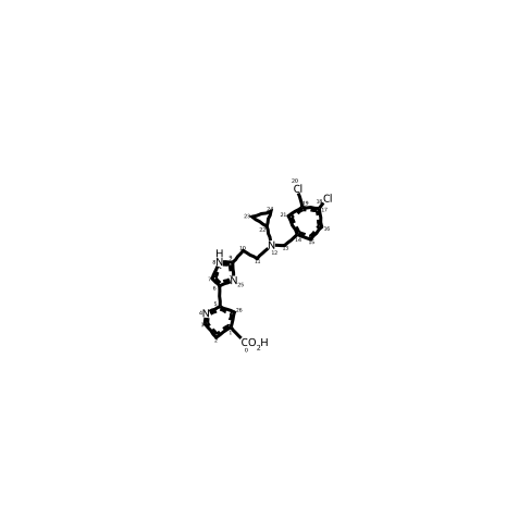 O=C(O)c1ccnc(-c2c[nH]c(CCN(Cc3ccc(Cl)c(Cl)c3)C3CC3)n2)c1